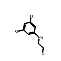 CC(C)CCNc1cc(Cl)cc(Cl)c1